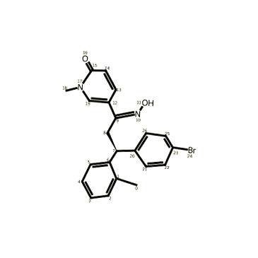 Cc1ccccc1[C@@H](CC(=NO)c1ccc(=O)n(C)c1)c1ccc(Br)cc1